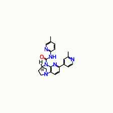 Cc1ccc(NC(=O)N2c3nc(-c4ccnc(C)c4)ccc3N3CC[C@H]2C3)nc1